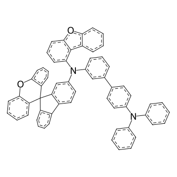 c1ccc(N(c2ccccc2)c2ccc(-c3cccc(N(c4ccc5c(c4)C4(c6ccccc6Oc6ccccc64)c4ccccc4-5)c4cccc5oc6ccccc6c45)c3)cc2)cc1